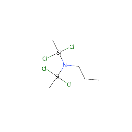 CCCN([Si](C)(Cl)Cl)[Si](C)(Cl)Cl